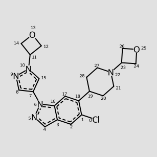 Clc1cc2cnn(-c3cnn(C4COC4)c3)c2cc1C1CCN(C2COC2)CC1